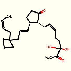 C/C=C\CC1(C/C=C/[C@H]2CCC(=O)[C@@H]2C/C=C\CCC(O)(O)C(=O)OC)CCC1